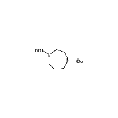 CCCCN1CCCN(C(C)(C)C)CC1